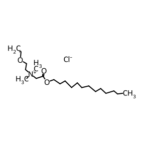 C=COCC[N+](C)(C)CC(=O)OCCCCCCCCCCCCC.[Cl-]